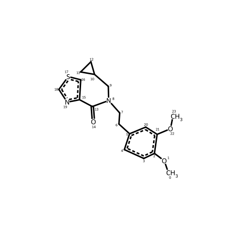 COc1ccc(CCN(CC2CC2)C(=O)c2cscn2)cc1OC